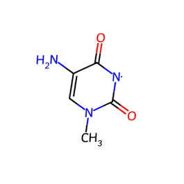 CN1C=C(N)C(=O)[N]C1=O